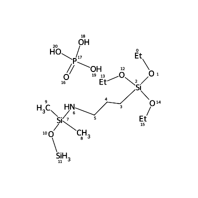 CCO[Si](CCCN[Si](C)(C)O[SiH3])(OCC)OCC.O=P(O)(O)O